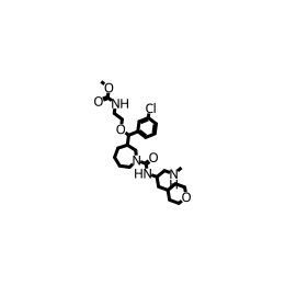 CNCC(CC1CCOCC1)NC(=O)N1CCCCC(C(OCCNC(=O)OC)c2cccc(Cl)c2)C1